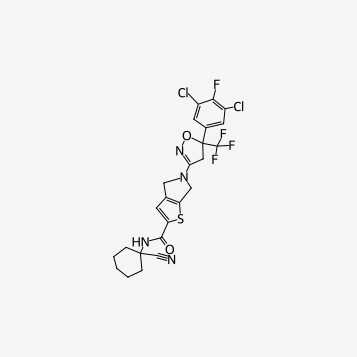 N#CC1(NC(=O)c2cc3c(s2)CN(C2=NOC(c4cc(Cl)c(F)c(Cl)c4)(C(F)(F)F)C2)C3)CCCCC1